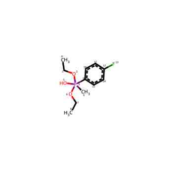 CCOP(C)(O)(OCC)c1ccc(F)cc1